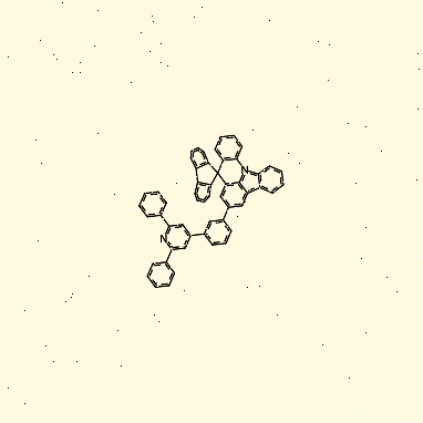 c1ccc(-c2cc(-c3cccc(-c4cc5c6c(c4)c4ccccc4n6-c4ccccc4C54c5ccccc5-c5ccccc54)c3)cc(-c3ccccc3)n2)cc1